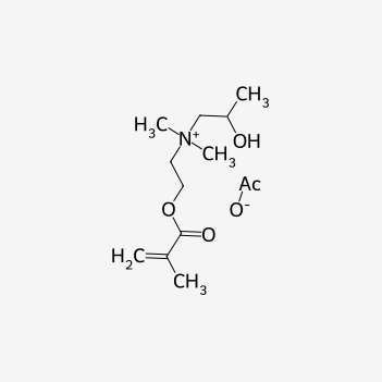 C=C(C)C(=O)OCC[N+](C)(C)CC(C)O.CC(=O)[O-]